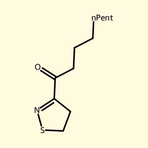 CCCCCCCCC(=O)C1=NSCC1